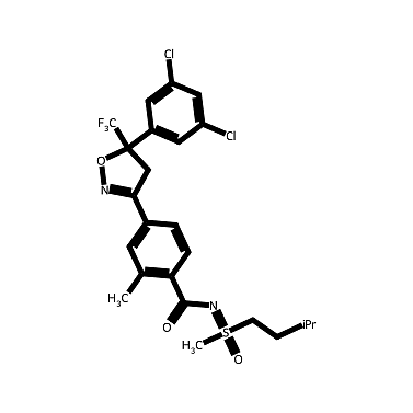 Cc1cc(C2=NOC(c3cc(Cl)cc(Cl)c3)(C(F)(F)F)C2)ccc1C(=O)N=S(C)(=O)CCC(C)C